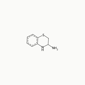 NC1CSc2ccccc2N1